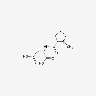 CN1CCC[C@H]1C(=O)N[C@@H](CC(=O)O)C(=O)O